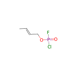 CC=CCOP(=O)(F)Cl